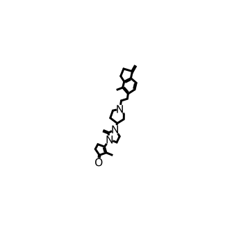 C=C1CCc2c1ccc(CCN1CCC(N3CCN(C4=C(C)C(=O)CC4)C3=C)CC1)c2C